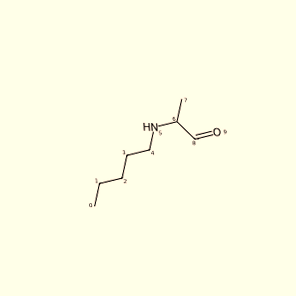 CCCCCNC(C)[C]=O